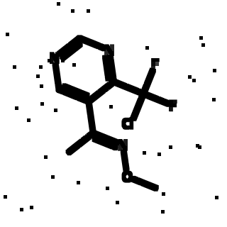 CON=C(C)c1cncnc1C(F)(F)Cl